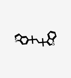 CC(C)(CCC(C)(C)c1csc2ccccc12)c1ccc2sccc2c1